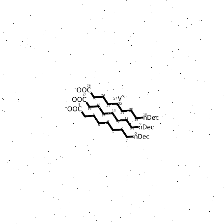 CCCCCCCCCCCCCCCCCC(=O)[O-].CCCCCCCCCCCCCCCCCC(=O)[O-].CCCCCCCCCCCCCCCCCC(=O)[O-].[V+3]